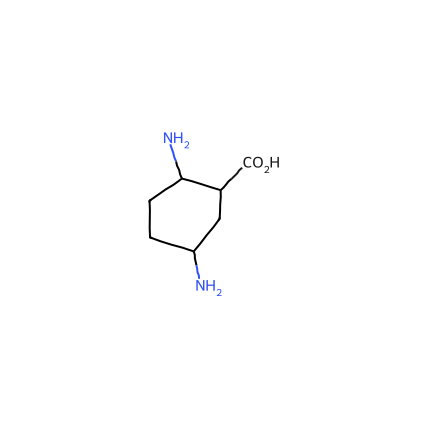 NC1CCC(N)C(C(=O)O)C1